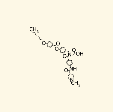 CCCCCCCOc1ccc(C(=O)Oc2ccc(CN(CC(=O)O)C(=O)c3ccc(NC(=O)C4CCN(C)CC4)cc3)cc2)cc1